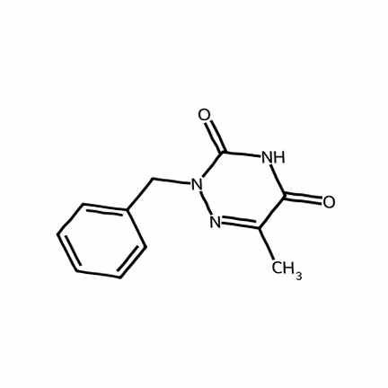 Cc1nn(Cc2ccccc2)c(=O)[nH]c1=O